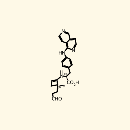 C[C@@]1(CCC=O)CC=C1N[C@@H](Cc1ccc(Nc2nccc3cnccc23)cc1)C(=O)O